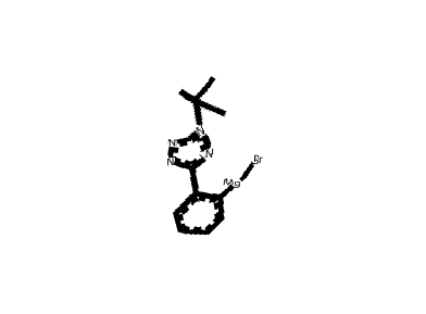 CC(C)(C)n1nnc(-c2cccc[c]2[Mg][Br])n1